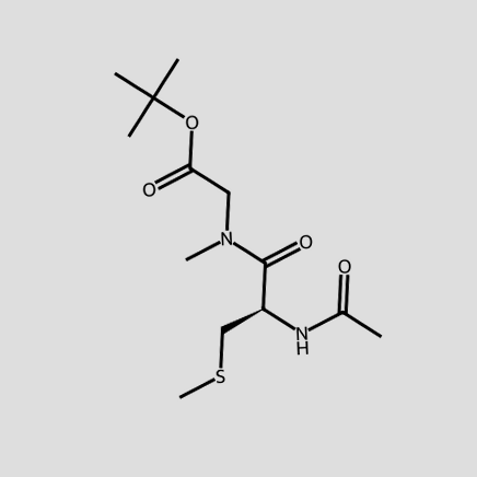 CSC[C@H](NC(C)=O)C(=O)N(C)CC(=O)OC(C)(C)C